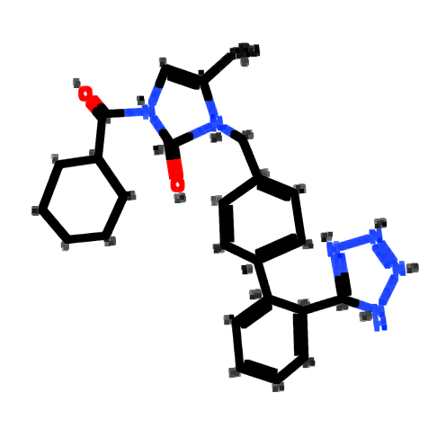 CCCCc1cn(C(=O)C2CCCCC2)c(=O)n1Cc1ccc(-c2ccccc2-c2nnn[nH]2)cc1